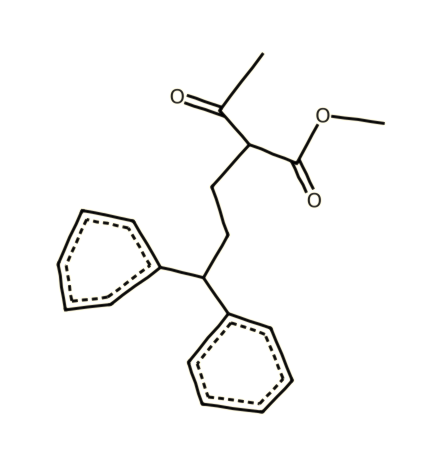 COC(=O)C(CCC(c1ccccc1)c1ccccc1)C(C)=O